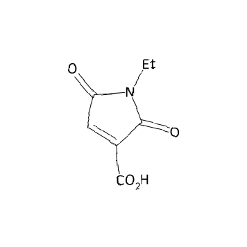 CCN1C(=O)C=C(C(=O)O)C1=O